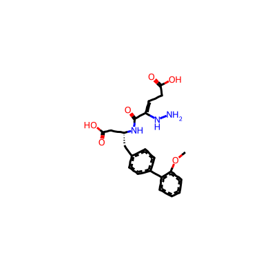 COc1ccccc1-c1ccc(C[C@H](CC(=O)O)NC(=O)/C(=C/CC(=O)O)NN)cc1